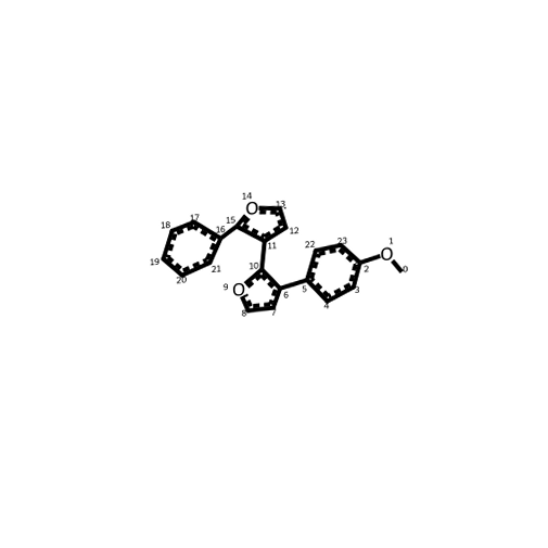 COc1ccc(-c2ccoc2-c2c[c]oc2-c2ccccc2)cc1